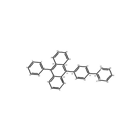 c1ccc(-c2c3ccccc3c(-c3ccc(-c4ncccn4)cc3)c3ccccc23)cc1